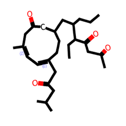 CCCC(CC1CC/C(CC(=O)CC(C)C)=C\C=C(\C)CC(=O)C1)C(CC)C(=O)CC(C)=O